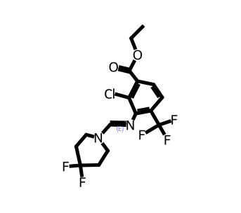 CCOC(=O)c1ccc(C(F)(F)F)c(/N=C/N2CCC(F)(F)CC2)c1Cl